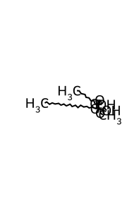 CCCCCCCCCCCCCCCCCCOC([C@H](CO)OC)P(=O)(O)OCCCCCCCC